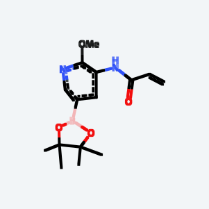 C=CC(=O)Nc1cc(B2OC(C)(C)C(C)(C)O2)cnc1OC